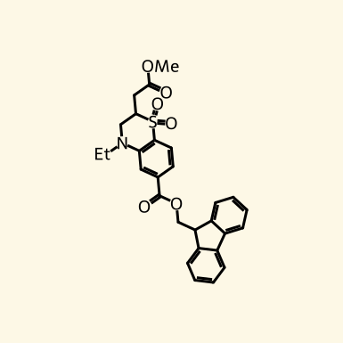 CCN1CC(CC(=O)OC)S(=O)(=O)c2ccc(C(=O)OCC3c4ccccc4-c4ccccc43)cc21